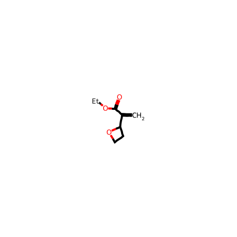 C=C(C(=O)OCC)C1CCO1